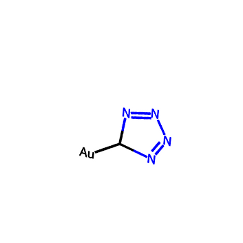 [Au][CH]1N=NN=N1